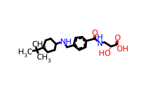 CC(C)(C)C1CCC(NCc2ccc(C(=O)NC[C@@H](O)C(=O)O)cc2)CC1